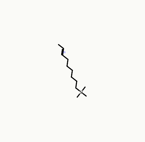 C/C=C/CCCCCC[Si](C)(C)C